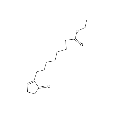 CCOC(=O)CCCCCCCC1=CCCC1=O